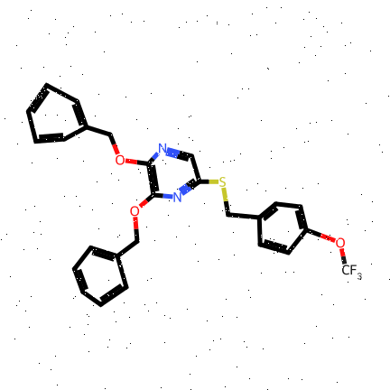 FC(F)(F)Oc1ccc(CSc2cnc(OCc3ccccc3)c(OCc3ccccc3)n2)cc1